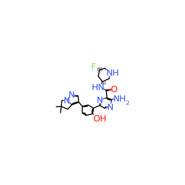 CC1(C)Cc2c(-c3ccc(O)c(-c4cnc(N)c(C(=O)N[C@@H]5CNC[C@@H](F)C5)n4)c3)cnn2C1